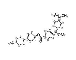 CCCC1CCC(c2ccc(OC(=O)c3ccc(C(OC)[n+]4ccc(N(C)C)cc4)cc3)cc2)CC1